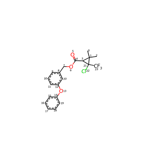 CC1(C)C(C(=O)OCc2cccc(Oc3ccccc3)c2)C1(Cl)C(F)(F)F